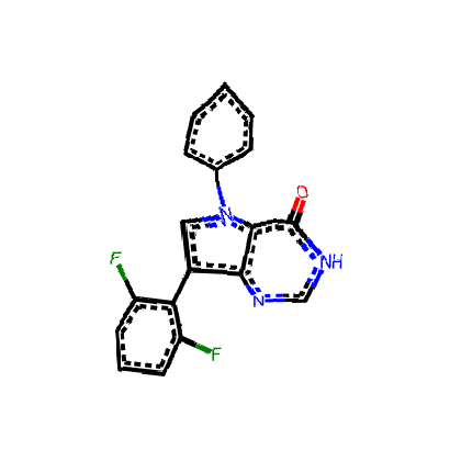 O=c1[nH]cnc2c(-c3c(F)cccc3F)cn(-c3ccccc3)c12